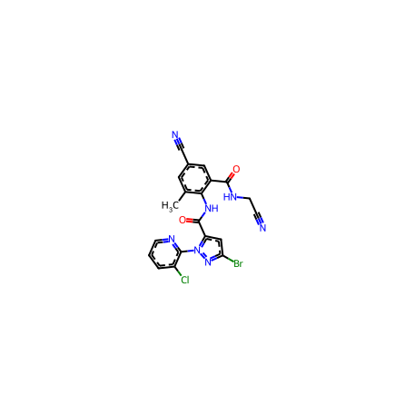 Cc1cc(C#N)cc(C(=O)NCC#N)c1NC(=O)c1cc(Br)nn1-c1ncccc1Cl